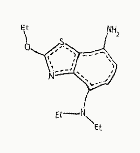 CCOc1nc2c(N(CC)CC)ccc(N)c2s1